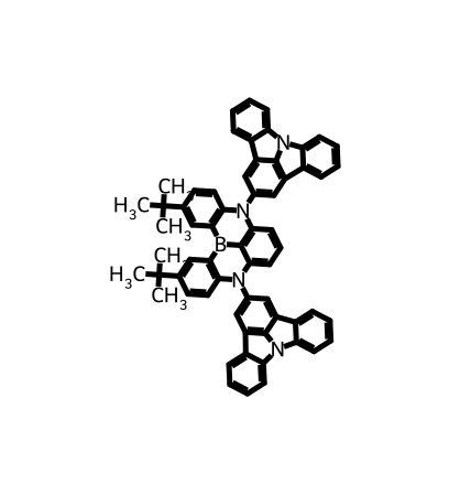 CC(C)(C)c1ccc2c(c1)B1c3cc(C(C)(C)C)ccc3N(c3cc4c5ccccc5n5c6ccccc6c(c3)c45)c3cccc(c31)N2c1cc2c3ccccc3n3c4ccccc4c(c1)c23